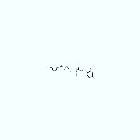 Cc1ccc(OCC(=O)NCNC(=S)NC(=O)c2ccc(Br)o2)c(C)c1